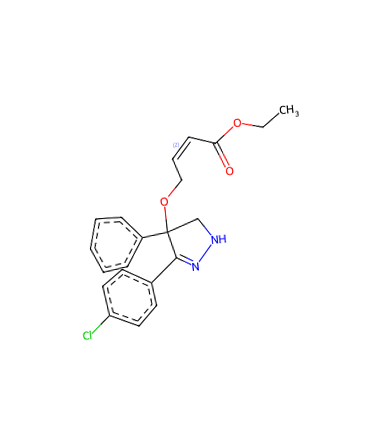 CCOC(=O)/C=C\COC1(c2ccccc2)CNN=C1c1ccc(Cl)cc1